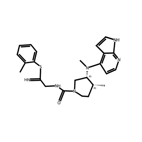 Cc1ccccc1SC(=N)CNC(=O)N1CC[C@@H](C)[C@@H](N(C)c2ccnc3[nH]ccc23)C1